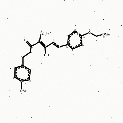 CCOC(=O)C(C(=O)CCc1ccc(OC(C)=O)cc1)=C(O)C=Cc1ccc(OCOC)cc1